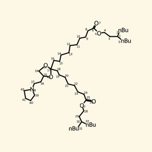 CCCCC(CCCC)CCOC(=O)CCCCCCCCCC1(CCCCCCCC(=O)OCCC(CCCC)CCCC)OCC(CCN2CCCC2)O1